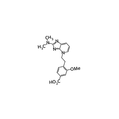 COc1cc(C(=O)O)ccc1CCn1cccc2nc(N(C)C)nc1-2